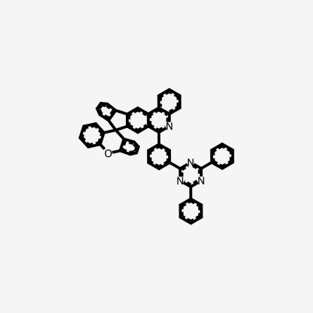 c1ccc(-c2nc(-c3ccccc3)nc(-c3cccc(-c4nc5ccccc5c5cc6c(cc45)C4(c5ccccc5Oc5ccccc54)c4ccccc4-6)c3)n2)cc1